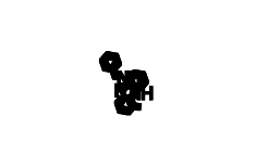 Cc1cccc2c1NC1(CCCCC1)C(NCc1ccccc1)=N2